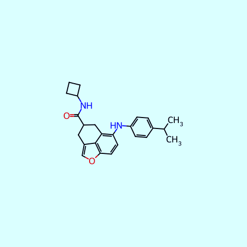 CC(C)c1ccc(Nc2ccc3occ4c3c2CC(C(=O)NC2CCC2)C4)cc1